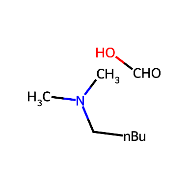 CCCCCN(C)C.O=CO